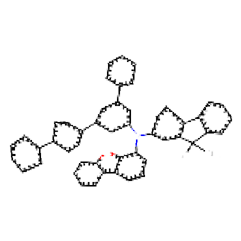 CC1(C)c2ccccc2-c2ccc(N(c3cc(-c4ccccc4)cc(-c4ccc(-c5ccccc5)cc4)c3)c3cccc4c3oc3ccccc34)cc21